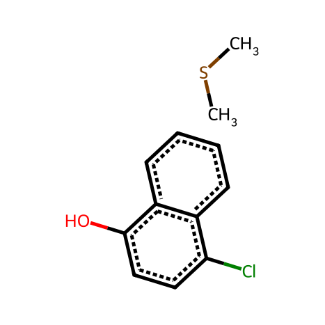 CSC.Oc1ccc(Cl)c2ccccc12